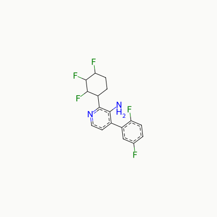 Nc1c(-c2cc(F)ccc2F)ccnc1C1CCC(F)C(F)C1F